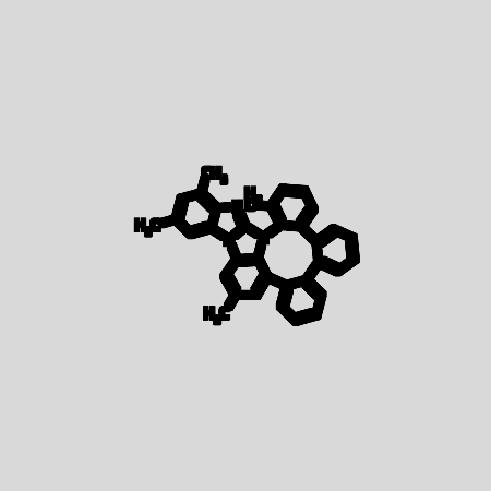 Cc1cc(C)c2nc3n(c2c1)c1cc(C)cc2c4ccccc4c4ccccc4c4cccc(C)c4n3c21